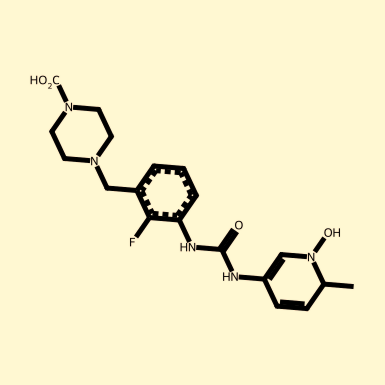 CC1C=CC(NC(=O)Nc2cccc(CN3CCN(C(=O)O)CC3)c2F)=CN1O